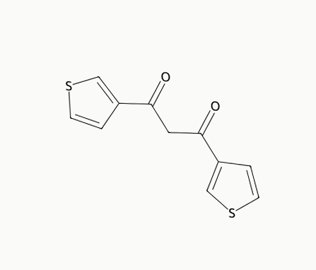 O=C(CC(=O)c1ccsc1)c1ccsc1